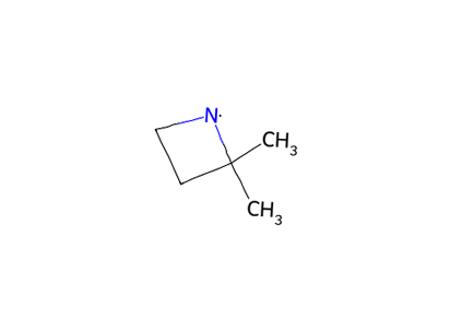 CC1(C)CC[N]1